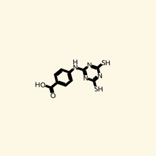 O=C(O)c1ccc(Nc2nc(S)nc(S)n2)cc1